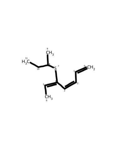 C=C/C=C\C(=C/C)SC(C)CC